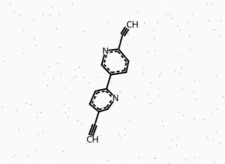 C#Cc1ccc(-c2ccc(C#C)nc2)nc1